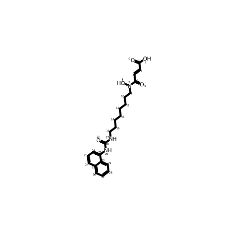 O=C(O)/C=C/C(=O)N(O)CCCCCCCCNC(=O)Nc1cccc2ccccc12